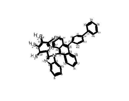 Bc1bc(-c2nc3ccccc3n2-c2c3ccccc3c(-c3ccc(-c4ccccc4)cc3)c3ccccc23)c(B)c(B)c1B